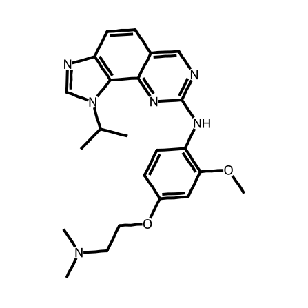 COc1cc(OCCN(C)C)ccc1Nc1ncc2ccc3ncn(C(C)C)c3c2n1